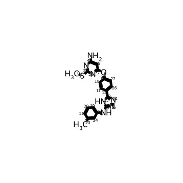 CSc1nc(N)cc(Oc2ccc(-c3nnc(Nc4cccc(C)c4)[nH]3)cc2)n1